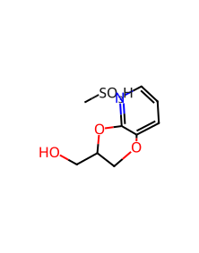 CS(=O)(=O)O.OCC1COc2cccnc2O1